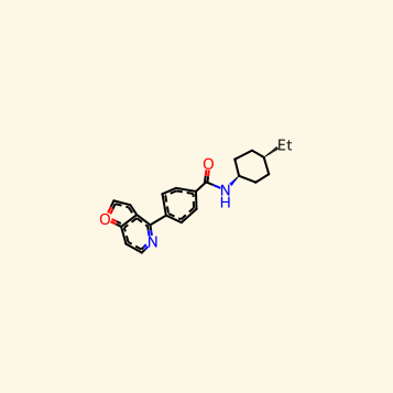 CC[C@H]1CC[C@@H](NC(=O)c2ccc(-c3nccc4occc34)cc2)CC1